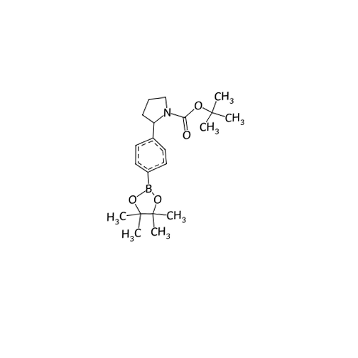 CC(C)(C)OC(=O)N1CCCC1c1ccc(B2OC(C)(C)C(C)(C)O2)cc1